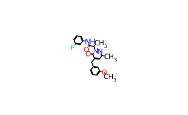 COc1cccc(Cc2cc(C)nn(C(C)C(=O)Nc3cccc(F)c3)c2=O)c1